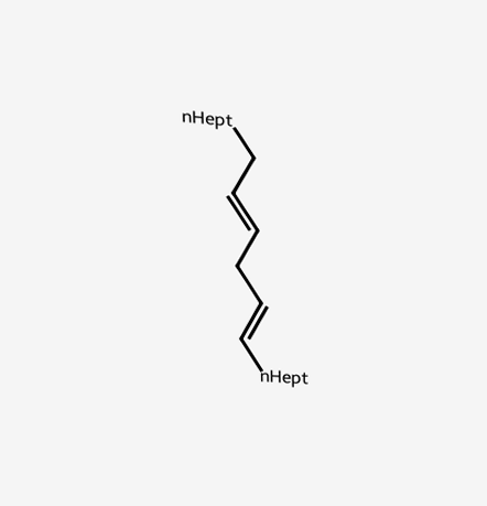 [CH2]CCCCCCC=CCC=CCCCCCCCC